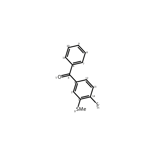 CSc1cc(C(=O)c2ccccc2)ccc1[S]